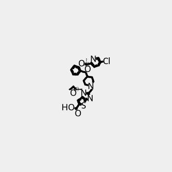 C[C@@]1(c2ccc(Cl)cn2)Oc2ccccc2C(C2CCN(Cc3nc4sc(C(=O)O)cc4n3C[C@@H]3CCO3)CC2)O1